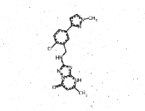 Cc1cc(=O)n2nc(NCc3cc(-c4ccn(C)n4)ccc3Cl)nc2[nH]1